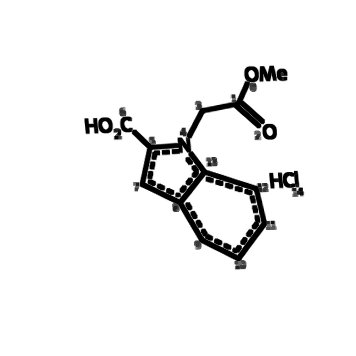 COC(=O)Cn1c(C(=O)O)cc2ccccc21.Cl